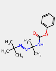 CC(C)(C)N=NC(C)(C)NC(=O)Oc1ccccc1